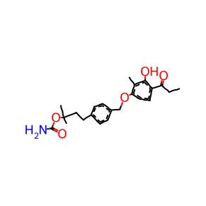 CCC(=O)c1ccc(OCc2ccc(CCC(C)(C)OC(N)=O)cc2)c(C)c1O